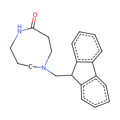 O=C1CCN(CC2c3ccccc3-c3ccccc32)CCCN1